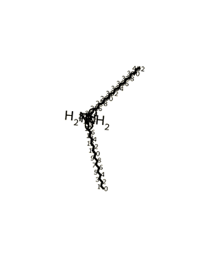 CCCCCCCCCCCCCCCCCCO[CH2][Pt]([NH2])([NH2])[CH2]OCCCCCCCCCCCCCCCCCC